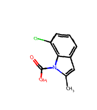 Cc1cc2cccc(Cl)c2n1C(=O)O